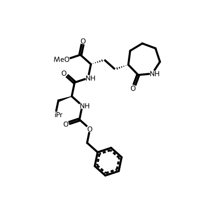 COC(=O)[C@H](CC[C@@H]1CCCCNC1=O)NC(=O)[C@H](CC(C)C)NC(=O)OCc1ccccc1